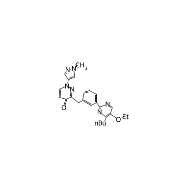 CCCCc1nc(-c2cccc(Cc3nn(-c4cnn(C)c4)ccc3=O)c2)ncc1OCC